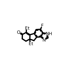 CCC1=C2c3cc(F)c4[nH]cnc4c3CC2(CC)CCC1=O